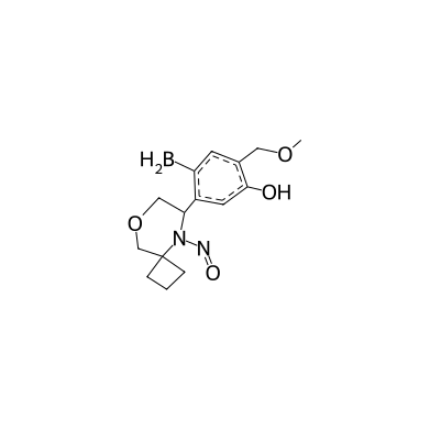 Bc1cc(COC)c(O)cc1C1COCC2(CCC2)N1N=O